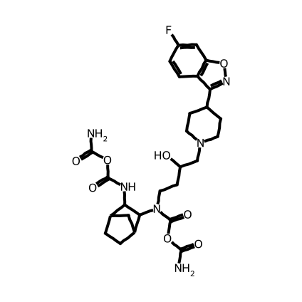 NC(=O)OC(=O)NC1C2CCC(C2)C1N(CCC(O)CN1CCC(c2noc3cc(F)ccc23)CC1)C(=O)OC(N)=O